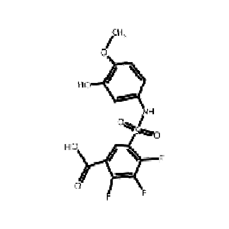 COc1ccc(NS(=O)(=O)c2cc(C(=O)O)c(F)c(F)c2F)cc1O